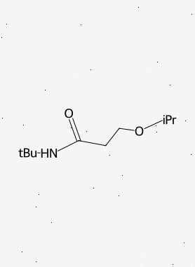 CC(C)OCCC(=O)NC(C)(C)C